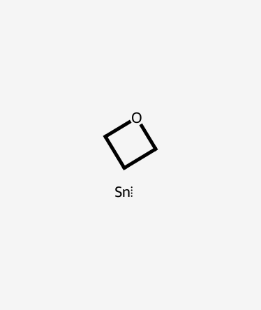 C1COC1.[Sn]